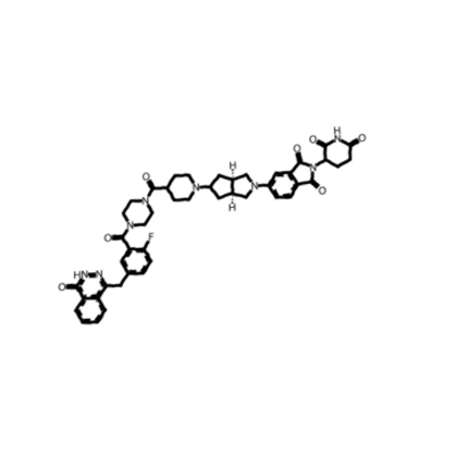 O=C1CCC(N2C(=O)c3ccc(N4C[C@H]5CC(N6CCC(C(=O)N7CCN(C(=O)c8cc(Cc9n[nH]c(=O)c%10ccccc9%10)ccc8F)CC7)CC6)C[C@H]5C4)cc3C2=O)C(=O)N1